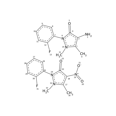 Cc1c(N)c(=O)n(-c2ccccc2F)n1C.Cc1c([N+](=O)[O-])c(=O)n(-c2ccccc2F)n1C